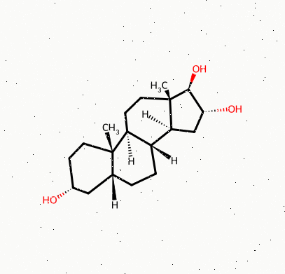 C[C@]12CC[C@@H](O)C[C@H]1CC[C@@H]1[C@@H]2CC[C@]2(C)[C@@H](O)[C@H](O)C[C@@H]12